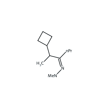 CCC/C(=N/NC)C(C)C1CCC1